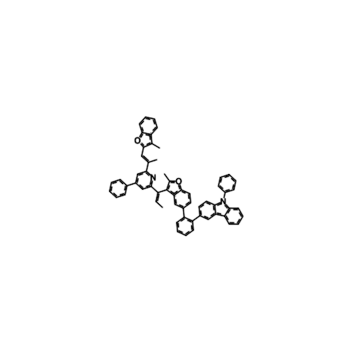 C/C=C(/c1cc(-c2ccccc2)cc(/C(C)=C/c2oc3ccccc3c2C)n1)c1c(C)oc2ccc(-c3ccccc3-c3ccc4c(c3)c3ccccc3n4-c3ccccc3)cc12